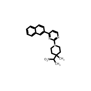 CC([N+](=O)[O-])C1(C)CCN(c2nccc(-c3ccc4ccccc4c3)n2)CC1